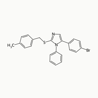 Cc1ccc(CSc2ncc(-c3ccc(Br)cc3)n2-c2ccccc2)cc1